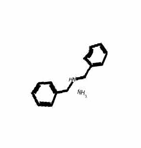 N.c1ccc(CNCc2ccccc2)cc1